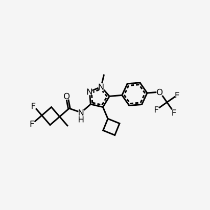 Cn1nc(NC(=O)C2(C)CC(F)(F)C2)c(C2CCC2)c1-c1ccc(OC(F)(F)F)cc1